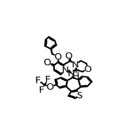 O=C1c2c(OCc3ccccc3)c(=O)ccn2N(C2c3ccc(OC(F)(F)F)cc3-c3ccsc3-c3ccccc32)[C@@H]2COCCN12